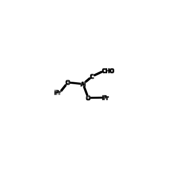 CC(C)[O][Al]([CH2]C=O)[O]C(C)C